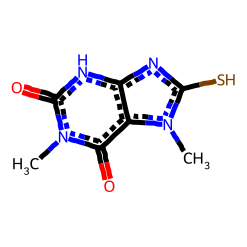 Cn1c(=O)[nH]c2nc(S)n(C)c2c1=O